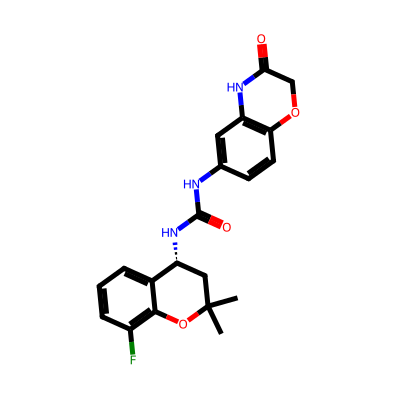 CC1(C)C[C@@H](NC(=O)Nc2ccc3c(c2)NC(=O)CO3)c2cccc(F)c2O1